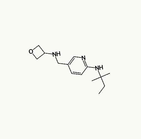 CCC(C)(C)Nc1ccc(CNC2COC2)cn1